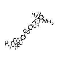 CC(F)(F)C(F)(F)Oc1ccc(C(=O)Oc2ccc(C=C(Cc3cc(N)ccc3N)C(=O)O)cc2)cc1